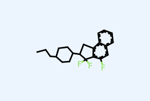 CCCC1CCC(C2Cc3c(c(F)cc4ccccc34)C2(F)F)CC1